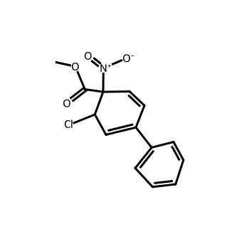 COC(=O)C1([N+](=O)[O-])C=CC(c2ccccc2)=CC1Cl